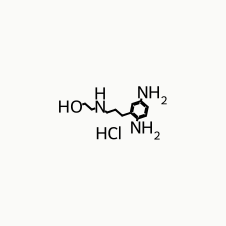 Cl.Nc1ccc(N)c(CCCNCCO)c1